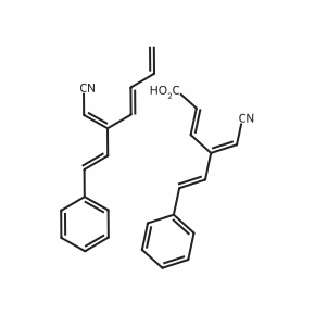 C=CC=CC(C=Cc1ccccc1)=CC#N.N#CC=C(C=CC(=O)O)C=Cc1ccccc1